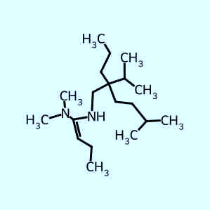 CC/C=C(\NCC(CCC)(CCC(C)C)C(C)C)N(C)C